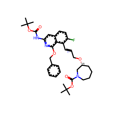 CC(C)(C)OC(=O)Nc1cc2ccc(F)c(/C=C/CO[C@@H]3CCCCN(C(=O)OC(C)(C)C)C3)c2c(OCc2ccccc2)n1